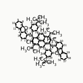 Cc1ccc2c(oc3ccccc32)c1N(c1ccc([Si](C)(C)C)cc1)c1cc(C(C)C)c2ccc3c(N(c4ccc([Si](C)(C)C)cc4)c4c(C)ccc5c4oc4ccccc45)cc(C(C)C)c4ccc1c2c43